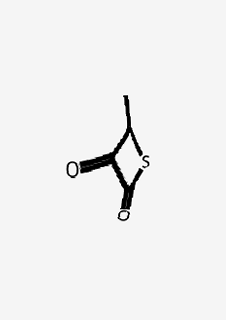 C[C]1SC(=O)C1=O